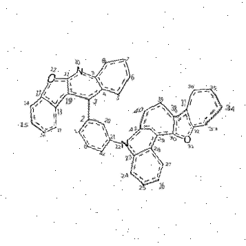 c1cc(-c2c3ccccc3nc3oc4ccccc4c23)cc(-n2c3ccccc3c3c4oc5ccccc5c4ccc32)c1